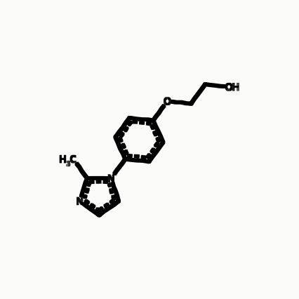 Cc1nccn1-c1ccc(OCCO)cc1